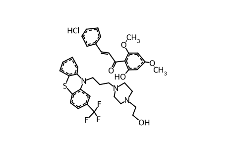 COc1cc(O)c(C(=O)C=Cc2ccccc2)c(OC)c1.Cl.OCCN1CCN(CCCN2c3ccccc3Sc3ccc(C(F)(F)F)cc32)CC1